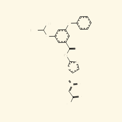 CC(C)Oc1cc(Oc2ccccc2)cc(C(=O)Nc2nccs2)c1.O=C(O)C=S(=O)=O